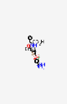 CCC(CC)(Cc1ccc(C(=O)Oc2ccc(C(=N)N)cc2F)s1)C(=O)N[C@@H](Cc1ccccc1)C(=O)O